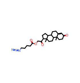 CC12CCC(=O)C=C1CCC1C2CCC2(C)C(C(=O)COC(=O)CCCCN=[N+]=[N-])CCC12